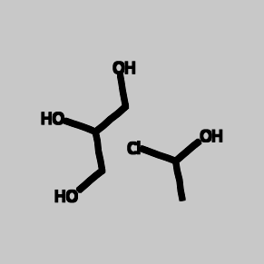 CC(O)Cl.OCC(O)CO